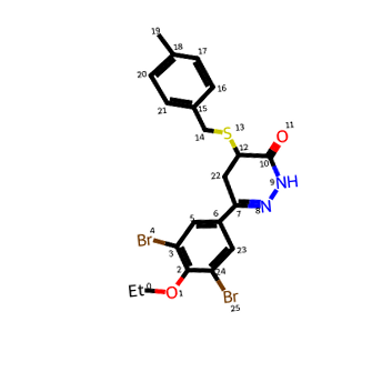 CCOc1c(Br)cc(C2=NNC(=O)C(SCc3ccc(C)cc3)C2)cc1Br